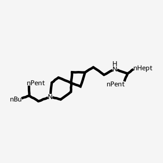 CCCCCCCC(CCCCC)NCCC1CC2(CCN(CC(CCCC)CCCCC)CC2)C1